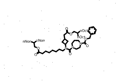 CCCCCCCCCC(CCCCCCCCC)COC(=O)CCCCCCCN(C(=O)N1CCCN(C(=O)OCc2ccccc2)CC1)C1CC(CC(=O)OCC(CCCCCCCC)CCCCCCCC)C1